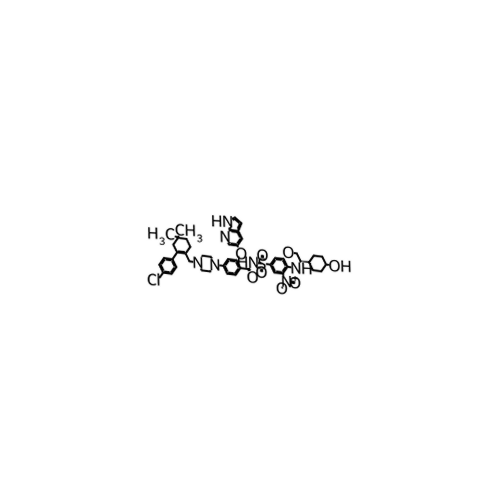 CC1(C)CCC(CN2CCN(c3ccc(C(=O)NS(=O)(=O)c4cc5c(c([N+](=O)[O-])c4)N[C@H](C4CCC(O)CC4)CO5)c(Oc4cnc5[nH]ccc5c4)c3)CC2)=C(c2ccc(Cl)cc2)C1